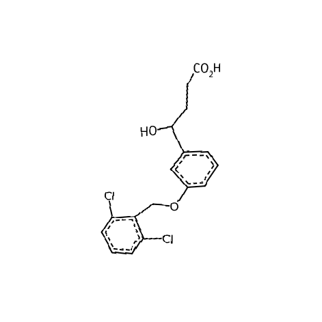 O=C(O)CCC(O)c1cccc(OCc2c(Cl)cccc2Cl)c1